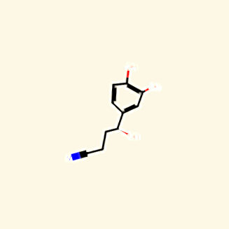 N#CCC[C@H](O)c1ccc(O)c(O)c1